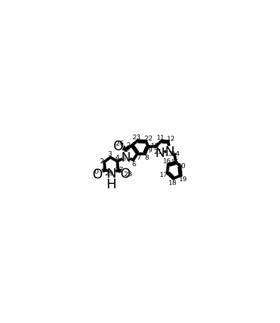 O=C1CCC(N2Cc3cc(-c4ccn(Cc5ccccc5)n4)ccc3C2=O)C(=O)N1